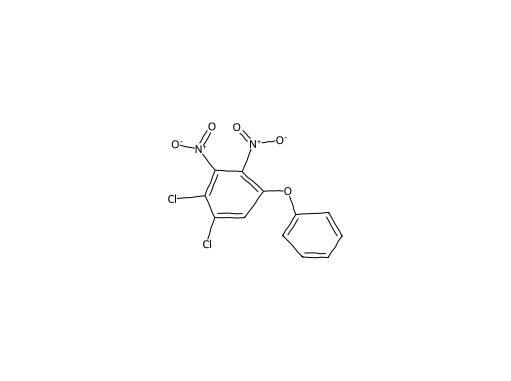 O=[N+]([O-])c1c(Oc2ccccc2)cc(Cl)c(Cl)c1[N+](=O)[O-]